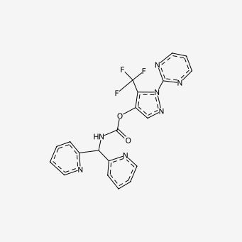 O=C(NC(c1ccccn1)c1ccccn1)Oc1cnn(-c2ncccn2)c1C(F)(F)F